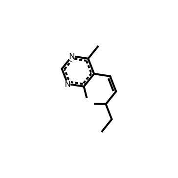 CCC(C)/C=C\c1c(C)ncnc1C